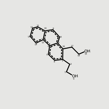 OCCc1ccc2c(ccc3ccccc32)c1CCO